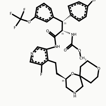 COC(=O)N[C@H](C(=O)Nc1cncc(F)c1CC[C@@H]1CNCC2(CCOCC2)O1)[C@@H](c1ccc(Cl)cc1)c1cccc(OC(F)(F)F)c1